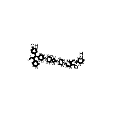 CCC(=C(c1ccc(O)cc1)c1ccc(N2CCC3(CC2)CC(N2CCN(c4ccc5c(n4)CN(C4CCCNC4)C5=O)CC2)C3)cc1)c1ccccc1